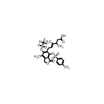 C/C(=C\Cc1c(OS(=O)(=O)C(F)(F)F)c(C)c2c(c1OS(=O)(=O)c1ccc(C)cc1)C(=O)OC2)C(C)CC(=O)O